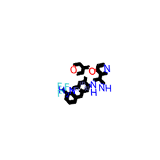 C=C(\C=C(NCC(C=N)c1cnccc1OCC1CCOCC1)/C(C)=C\C=C\N)Cc1cccc(C(F)(F)F)c1